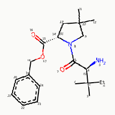 CCC(C)(C)[C@H](N)C(=O)N1CC(C)(C)C[C@H]1C(=O)OCc1ccccc1